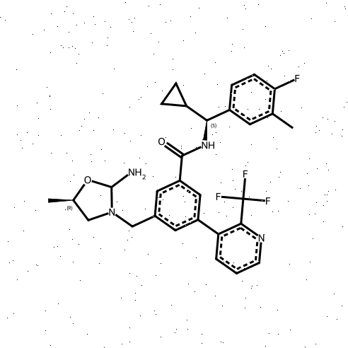 Cc1cc([C@@H](NC(=O)c2cc(CN3C[C@@H](C)OC3N)cc(-c3cccnc3C(F)(F)F)c2)C2CC2)ccc1F